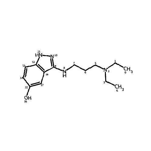 CCN(CC)CCCNc1n[nH]c2ccc(O)cc12